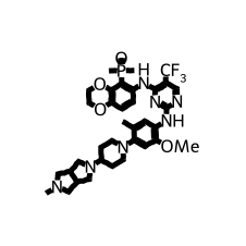 COc1cc(N2CCC(N3CC4CN(C)CC4C3)CC2)c(C)cc1Nc1ncc(C(F)(F)F)c(Nc2ccc3c(c2P(C)(C)=O)OCCO3)n1